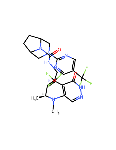 C[C@@H](/C=C/CNC(=O)N1C2CCC1CN(c1ncc(C(F)(F)F)cn1)C2)N(C)c1cn[nH]c(=O)c1C(F)(F)F